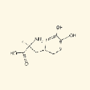 C[C@](N)(CC1C=C(O)C(O)=CC1)C(=O)O